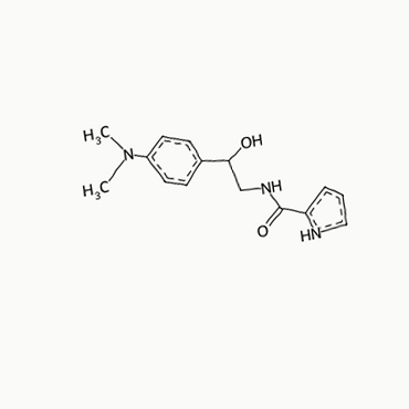 CN(C)c1ccc(C(O)CNC(=O)c2ccc[nH]2)cc1